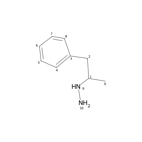 CC(Cc1ccccc1)NN